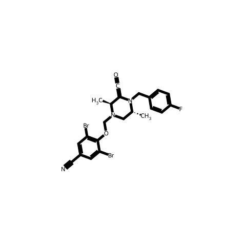 C[C@@H]1CN(COc2c(Br)cc(C#N)cc2Br)[C@@H](C)C(=C=O)N1Cc1ccc(F)cc1